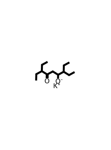 CCC(CC)C(=O)CC([O-])C(CC)CC.[K+]